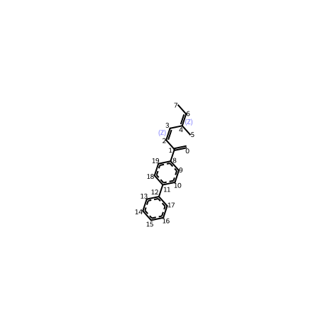 C=C(/C=C\C(C)=C/C)c1ccc(-c2ccccc2)cc1